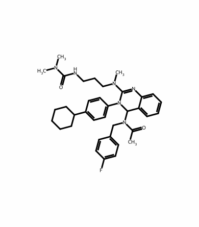 CC(=O)N(Cc1ccc(F)cc1)C1c2ccccc2N=C(N(C)CCCNC(=O)N(C)C)N1c1ccc(C2CCCCC2)cc1